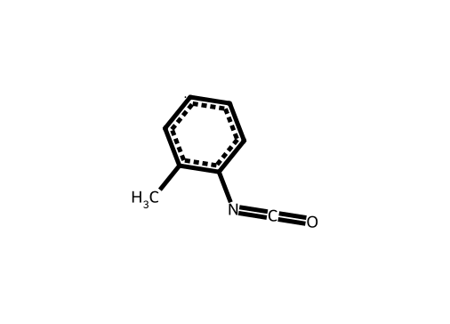 Cc1c[c]ccc1N=C=O